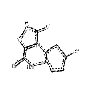 O=c1[nH]c2ccc(Cl)cc2n2c(=O)[nH]nc12